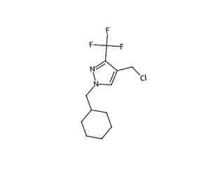 FC(F)(F)c1nn(CC2CCCCC2)cc1CCl